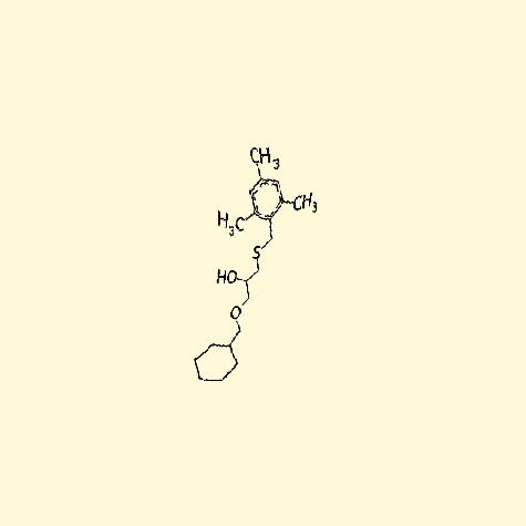 Cc1cc(C)c(CSCC(O)COCC2CCCCC2)c(C)c1